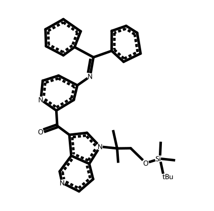 CC(C)(CO[Si](C)(C)C(C)(C)C)n1cc(C(=O)c2cc(N=C(c3ccccc3)c3ccccc3)ccn2)c2cnccc21